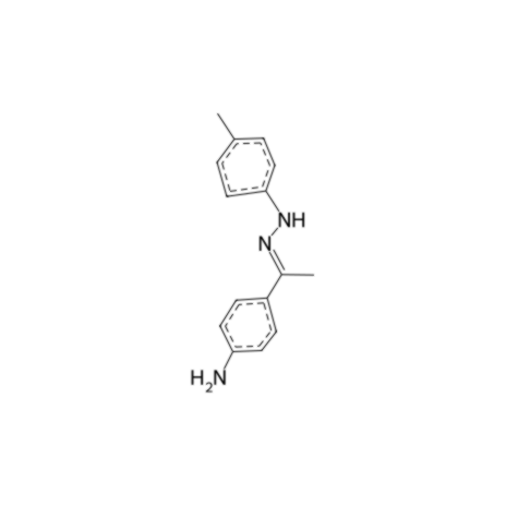 C/C(=N\Nc1ccc(C)cc1)c1ccc(N)cc1